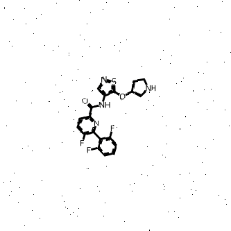 O=C(Nc1cnsc1OC1CCNC1)c1ccc(F)c(-c2c(F)cccc2F)n1